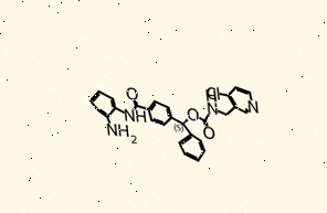 Nc1ccccc1NC(=O)c1ccc([C@@H](OC(=O)NCc2cnccc2Cl)c2ccccc2)cc1